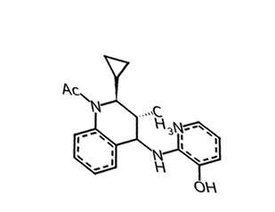 CC(=O)N1c2ccccc2C(Nc2ncccc2O)[C@@H](C)[C@@H]1C1CC1